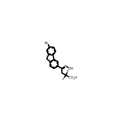 O=C(O)C(F)(F)CC(=NO)c1ccc2c(c1)-c1ccc(Br)cc1C2